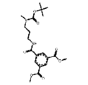 COC(=O)c1cc(C(=O)NCCCN(C)C(=O)OC(C)(C)C)cc(C(=O)OC)c1